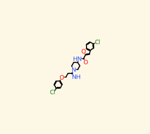 N=C(CCOc1ccc(Cl)cc1)N1CCC(NC(=O)c2cc3cc(Cl)ccc3o2)CC1